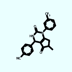 CC1CC2=C(C1=O)C(c1ccc(C#N)cc1)NC(=O)N2c1cccc(C(F)(F)F)c1